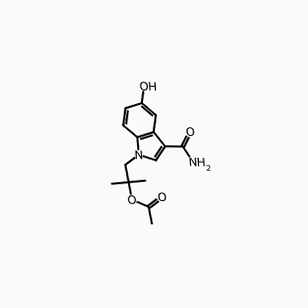 CC(=O)OC(C)(C)Cn1cc(C(N)=O)c2cc(O)ccc21